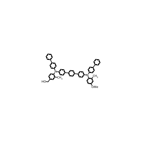 COc1ccc(N(c2ccc(-c3ccccc3)cc2)c2ccc(-c3ccc(-c4ccc(N(c5ccc(-c6ccccc6)cc5)c5ccc(CO)cc5C)cc4)cc3)cc2)c(C)c1